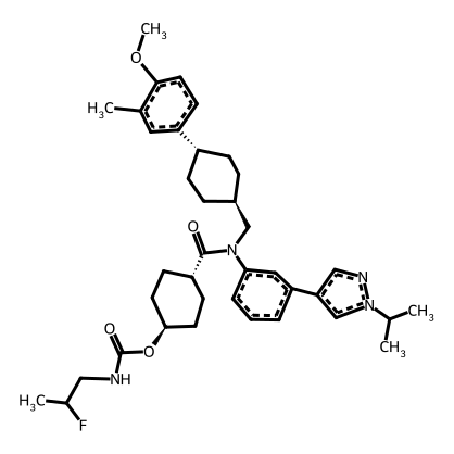 COc1ccc([C@H]2CC[C@H](CN(c3cccc(-c4cnn(C(C)C)c4)c3)C(=O)[C@H]3CC[C@H](OC(=O)NCC(C)F)CC3)CC2)cc1C